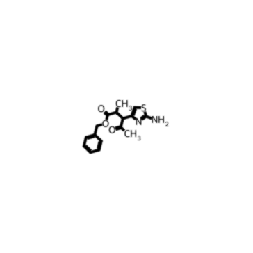 C[C](C(=O)OCc1ccccc1)C(C(C)=O)c1csc(N)n1